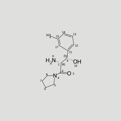 N[C@@H](C(=O)N1CCCC1)[C@@H](O)c1cccc(I)c1